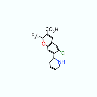 O=C(O)C1=Cc2cc(Cl)c(C3CC=CCN3)cc2OC1C(F)(F)F